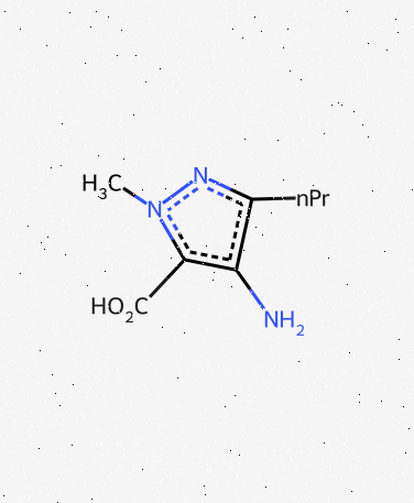 CCCc1nn(C)c(C(=O)O)c1N